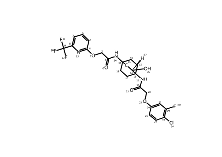 O=C(COc1cccc(C(F)(F)F)n1)NC12CCC(NC(=O)COc3ccc(Cl)c(F)c3)(CC1)[C@@H](O)C2